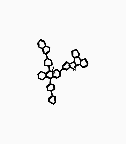 C1=CC2=CC(C3CCC(C4=C5CCCCC5=C(C5=CCC(C6=CCCC=C6)C=C5)C5=CC=C(c6ccc7c(c6)N=C6C7C7=C(CCC=C7)C7C=CC=CC67)C[C@H]54)CC3)=CCC2C=C1